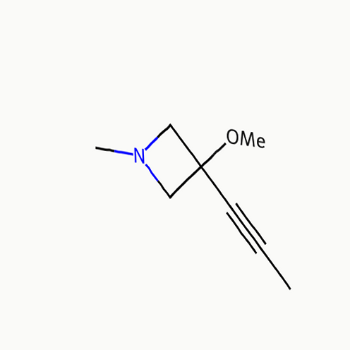 CC#CC1(OC)CN(C)C1